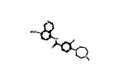 COc1ccc(NC(=O)c2ccc(N3CCCN(C)CC3)c(F)c2)c2ccncc12